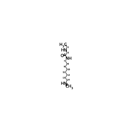 CCNCC(=O)NCCCCCCCCNC